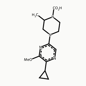 COc1nc(N2CCN(C(=O)O)C(C)C2)cnc1C1CC1